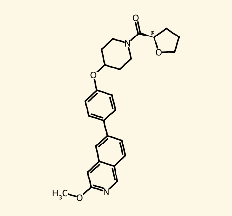 COc1cc2cc(-c3ccc(OC4CCN(C(=O)[C@H]5CCCO5)CC4)cc3)ccc2cn1